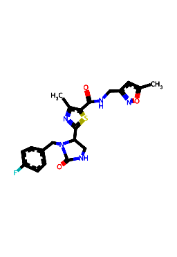 Cc1cc(CNC(=O)c2sc(C3CNC(=O)N3Cc3ccc(F)cc3)nc2C)no1